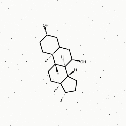 C[C@H]1CC[C@H]2[C@@H]3[C@H](O)CC4C[C@H](O)CC[C@]4(C)[C@H]3CC[C@]12C